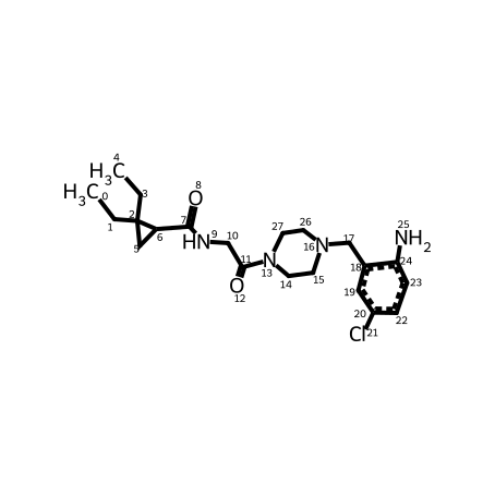 CCC1(CC)CC1C(=O)NCC(=O)N1CCN(Cc2cc(Cl)ccc2N)CC1